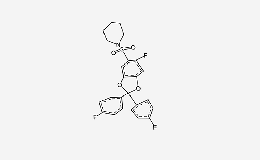 O=S(=O)(c1cc2c(cc1F)OC(c1ccc(F)cc1)(c1ccc(F)cc1)O2)N1CCCCC1